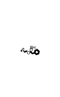 B.CN(C)CCOC(=O)Cc1ccccc1